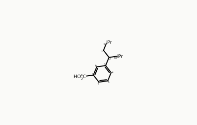 CC(C)CC(c1cccc(C(=O)O)c1)C(C)C